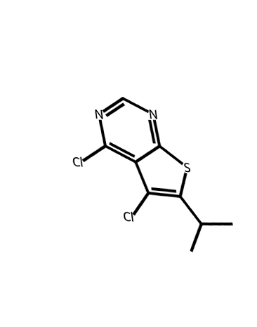 CC(C)c1sc2ncnc(Cl)c2c1Cl